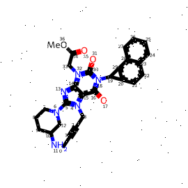 CC#CCn1c(N2CCCC(N)C2)nc2c1c(=O)n(C1c3ccc4ccccc4c31)c(=O)n2CC(=O)OC